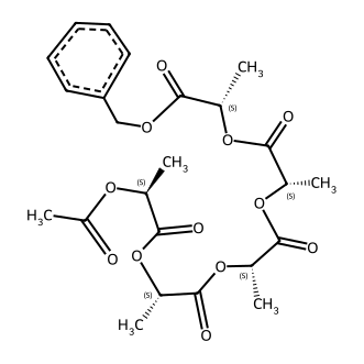 CC(=O)O[C@@H](C)C(=O)O[C@@H](C)C(=O)O[C@@H](C)C(=O)O[C@@H](C)C(=O)O[C@@H](C)C(=O)OCc1ccccc1